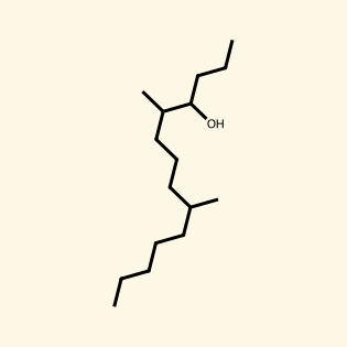 CCCCCC(C)CCCC(C)C(O)CCC